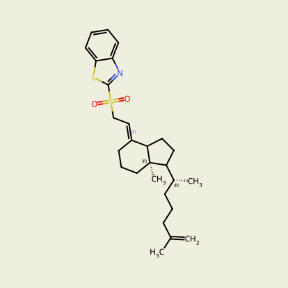 C=C(C)CCC[C@@H](C)C1CCC2/C(=C/CS(=O)(=O)c3nc4ccccc4s3)CCC[C@@]21C